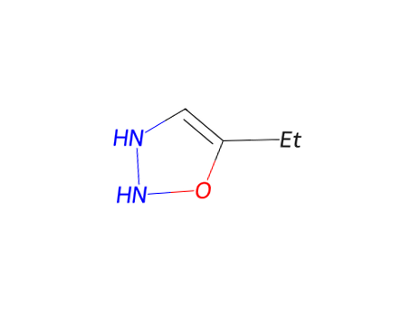 CCC1=CNNO1